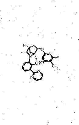 C[C@@H]1[C@H]2C[C@@H](Oc3ccc(C(F)(F)F)c(F)n3)[C@H](C2)N1c1cccc(-c2ncccn2)c1C=O